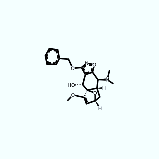 COC1=C[C@H]2C[C@H]3[C@H](N(C)C)c4onc(OCc5ccccc5)c4[C@@H](O)[C@@]13O2